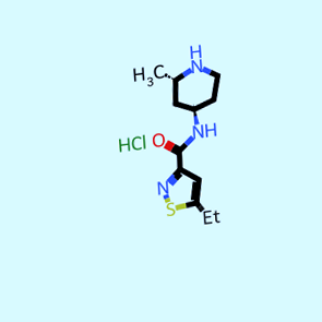 CCc1cc(C(=O)N[C@@H]2CCN[C@@H](C)C2)ns1.Cl